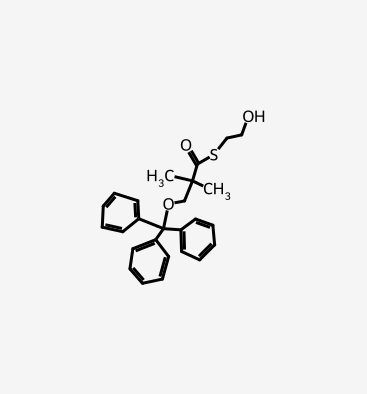 CC(C)(COC(c1ccccc1)(c1ccccc1)c1ccccc1)C(=O)SCCO